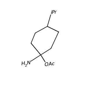 CC(=O)OC1(N)CCC(C(C)C)CC1